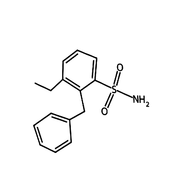 CCc1cccc(S(N)(=O)=O)c1Cc1ccccc1